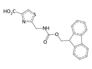 O=C(NCc1nc(C(=O)O)cs1)OCC1c2ccccc2-c2ccccc21